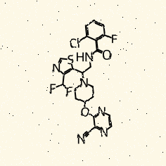 N#Cc1nccnc1OC1CCN(C(CNC(=O)c2c(F)cccc2Cl)c2scnc2C(F)F)CC1